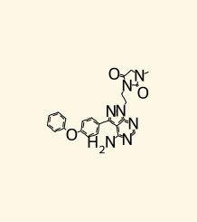 CN1CC(=O)N(CCn2nc(-c3ccc(Oc4ccccc4)cc3)c3c(N)ncnc32)C1=O